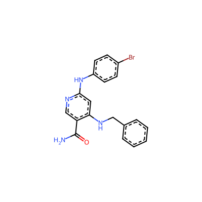 NC(=O)c1cnc(Nc2ccc(Br)cc2)cc1NCc1ccccc1